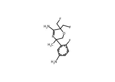 CC1(c2cc(N)ccc2F)COC(CF)(CF)C(N)=N1